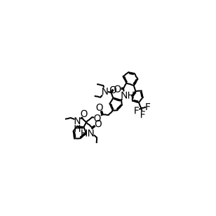 CCNC(=O)C(COC(=O)Cc1ccc(NC(=O)c2ccccc2-c2ccc(C(F)(F)F)cc2)c(C(=O)N(CC)CC)c1)(C(=O)NCC)c1ccccc1